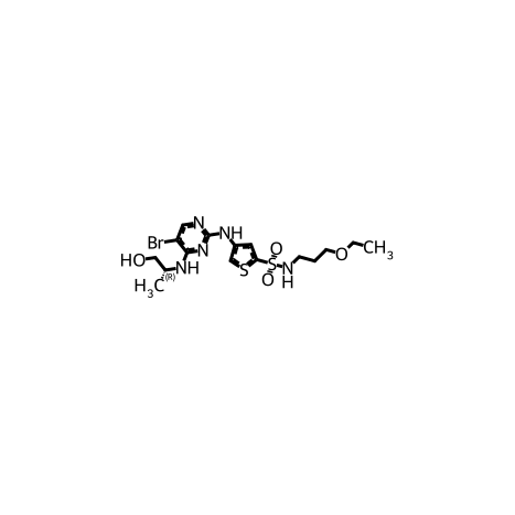 CCOCCCNS(=O)(=O)c1cc(Nc2ncc(Br)c(N[C@H](C)CO)n2)cs1